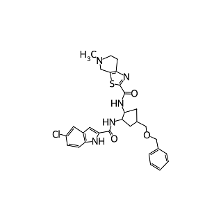 CN1CCc2nc(C(=O)NC3CC(COCc4ccccc4)CC3NC(=O)c3cc4cc(Cl)ccc4[nH]3)sc2C1